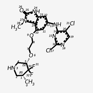 C[C@@H]1CNC[C@H](OCCOc2cc(Nc3nc(Cl)ncc3Cl)cc3[nH]c(=O)n(C)c23)C1(F)F